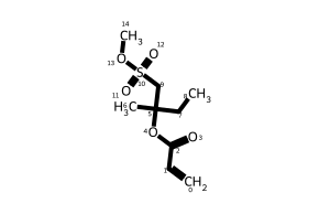 C=CC(=O)OC(C)(CC)CS(=O)(=O)OC